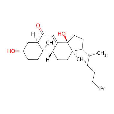 CC(C)CCCC(C)[C@H]1CC[C@@]2(O)C3=CC(=O)[C@@H]4C[C@@H](O)CC[C@]4(C)[C@H]3CC[C@]12C